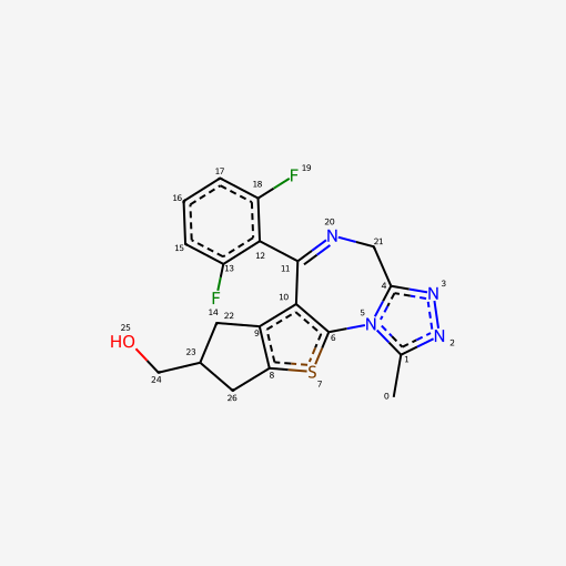 Cc1nnc2n1-c1sc3c(c1C(c1c(F)cccc1F)=NC2)CC(CO)C3